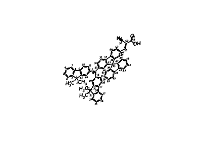 CC1(C)c2ccccc2-c2ccc(N(c3ccc4c(c3)C(C)(C)c3ccccc3-4)c3ccc4c(c3)C3(c5ccccc5-c5ccccc53)c3cc(/C=C(\C#N)C(=O)O)ccc3-4)cc21